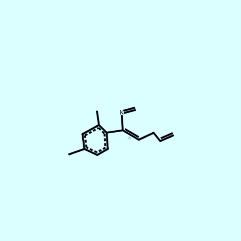 C=CC/C=C(\N=C)c1ccc(C)cc1C